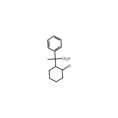 CC(C(=O)O)(c1ccccc1)C1CCCCC1Cl